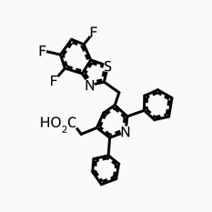 O=C(O)Cc1cc(Cc2nc3c(F)c(F)cc(F)c3s2)c(-c2ccccc2)nc1-c1ccccc1